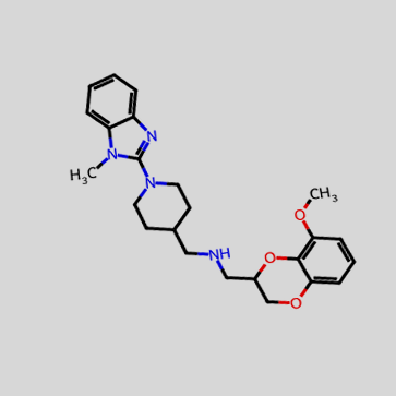 COc1cccc2c1OC(CNCC1CCN(c3nc4ccccc4n3C)CC1)CO2